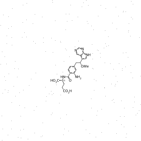 COC(Cc1ccc(C(=O)N[C@@H](CCC(=O)O)C(=O)O)c(N)c1)c1c[nH]c2ncncc12